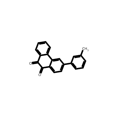 Cc1cccc(-c2ccc3c(c2)-c2ccccc2C(=O)C3=O)c1